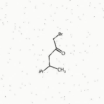 CC(C)C(C)CC(=O)CBr